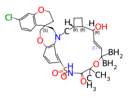 BC1(B)/C=C/[C@H](O)[C@@H]2CC[C@H]2CN2C[C@@]3(CCOc4cc(Cl)ccc43)COc3ccc(cc32)S(=O)(=O)NC(=O)C(C)(C)O1